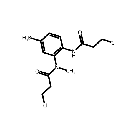 Bc1ccc(NC(=O)CCCl)c(N(C)C(=O)CCCl)c1